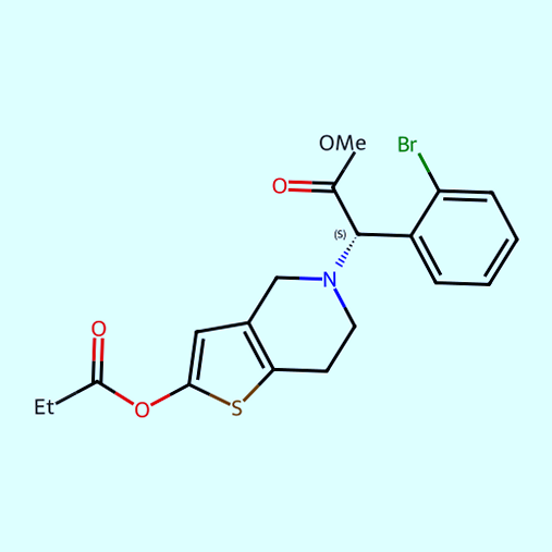 CCC(=O)Oc1cc2c(s1)CCN([C@H](C(=O)OC)c1ccccc1Br)C2